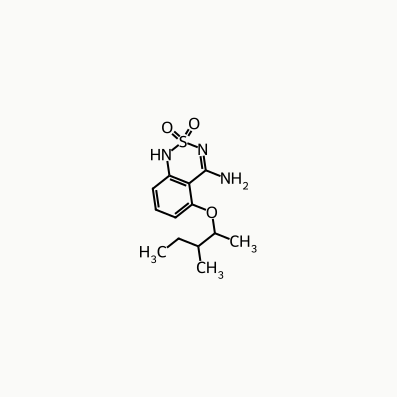 CCC(C)C(C)Oc1cccc2c1C(N)=NS(=O)(=O)N2